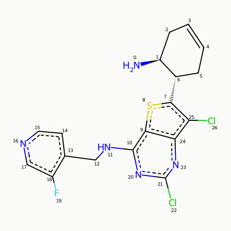 N[C@H]1CC=CC[C@@H]1c1sc2c(NCc3ccncc3F)nc(Cl)nc2c1Cl